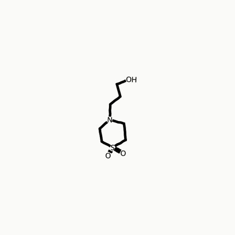 O=S1(=O)CCN(CCCO)CC1